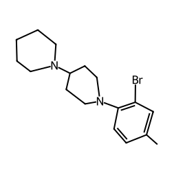 Cc1ccc(N2CCC(N3CCCCC3)CC2)c(Br)c1